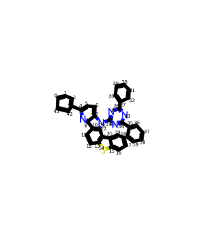 c1ccc(-c2ccc3c(n2)c2ccc4sc5ccccc5c4c2n3-c2nc(-c3ccccc3)nc(-c3ccccc3)n2)cc1